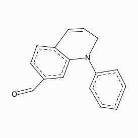 O=Cc1ccc2c(c1)N(c1ccccc1)CC=C2